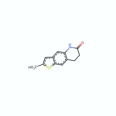 O=C1CCc2cc3sc(C(=O)O)cc3cc2N1